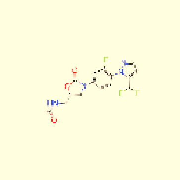 CC(=O)NC[C@H]1CN(c2ccc(-n3nccc3C(F)F)c(F)c2)C(=O)O1